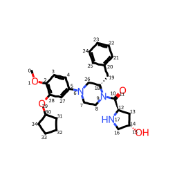 COc1ccc(N2CCN(C(=O)[C@H]3C[C@H](O)CN3)[C@@H](Cc3ccccc3)C2)cc1OC1CCCC1